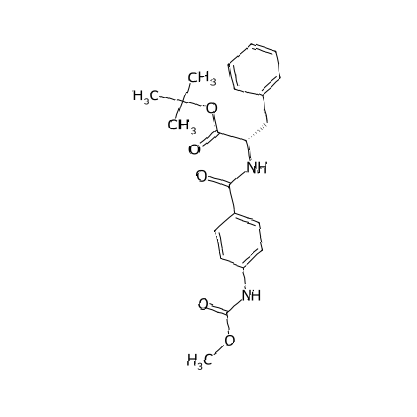 COC(=O)Nc1ccc(C(=O)N[C@@H](Cc2ccccc2)C(=O)OC(C)(C)C)cc1